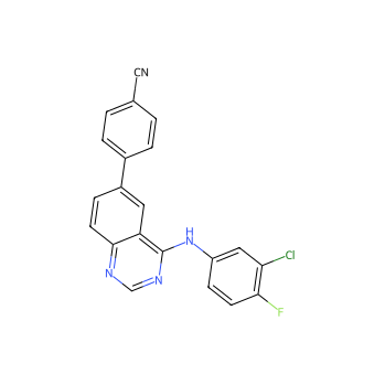 N#Cc1ccc(-c2ccc3ncnc(Nc4ccc(F)c(Cl)c4)c3c2)cc1